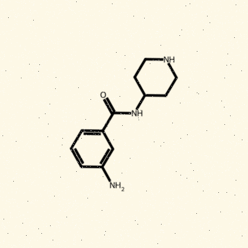 Nc1cccc(C(=O)NC2CCNCC2)c1